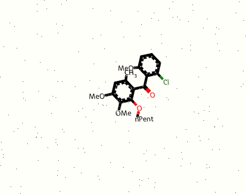 CCCCCOc1c(OC)c(OC)cc(C)c1C(=O)c1c(Cl)cccc1OC